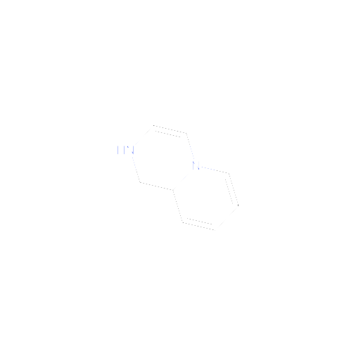 C1=CC2CNC=CN2C=C1